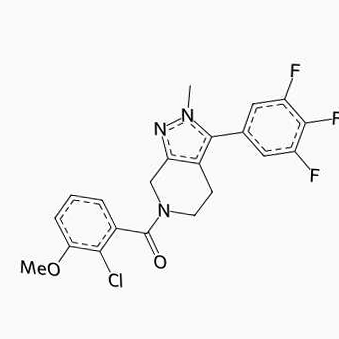 COc1cccc(C(=O)N2CCc3c(nn(C)c3-c3cc(F)c(F)c(F)c3)C2)c1Cl